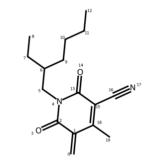 C=C1C(=O)N(CC(CC)CCCC)C(=O)C(C#N)=C1C